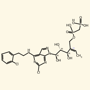 C/C=C(/COP(=O)(O)CP(=O)(O)O)[C@@H](O)[C@@H](O)[C@@H](O)n1ncc2c(NCCc3ccccc3Cl)nc(Cl)nc21